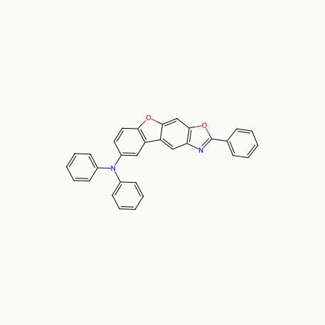 c1ccc(-c2nc3cc4c(cc3o2)oc2ccc(N(c3ccccc3)c3ccccc3)cc24)cc1